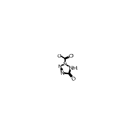 O=C(Cl)n1nnc(=O)[nH]1